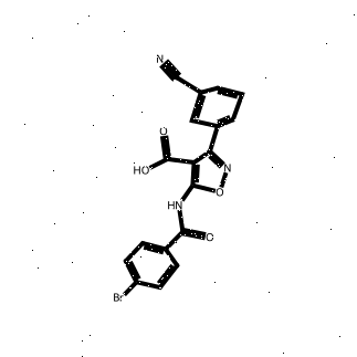 N#Cc1cccc(-c2noc(NC(=O)c3ccc(Br)cc3)c2C(=O)O)c1